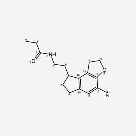 CCC(=O)NCCC1CCc2cc(Br)c3c(c21)CCO3